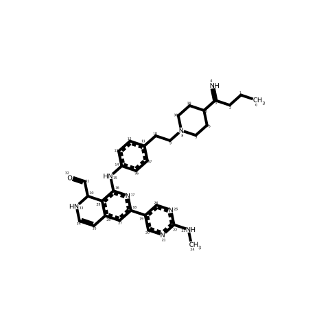 CCCC(=N)C1CCN(CCc2ccc(Nc3nc(-c4cnc(NC)nc4)cc4c3C(C=O)NC=C4)cc2)CC1